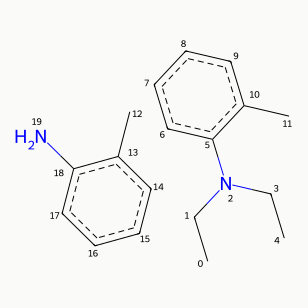 CCN(CC)c1ccccc1C.Cc1ccccc1N